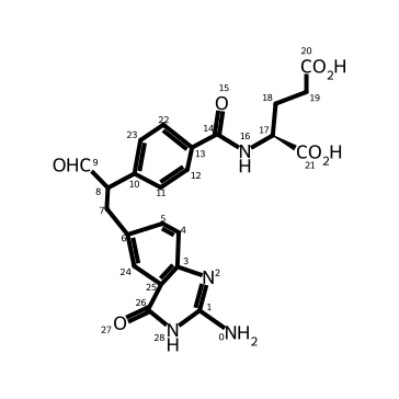 Nc1nc2ccc(CC(C=O)c3ccc(C(=O)N[C@@H](CCC(=O)O)C(=O)O)cc3)cc2c(=O)[nH]1